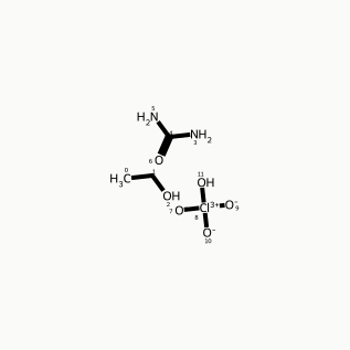 CCO.NC(N)=O.[O-][Cl+3]([O-])([O-])O